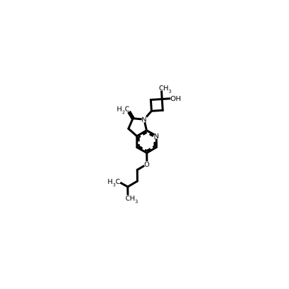 C=C1Cc2cc(OCCC(C)C)cnc2N1C1CC(C)(O)C1